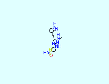 CCNc1nc(Nc2ccc([SH](=N)=O)cc2)ncc1C#Cc1cccc2[nH]ncc12